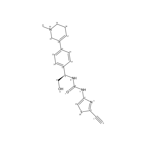 C#Cc1nc(NC(=O)N[C@@H](CO)c2ccc(C3=CCCN(C)C3)cc2)cs1